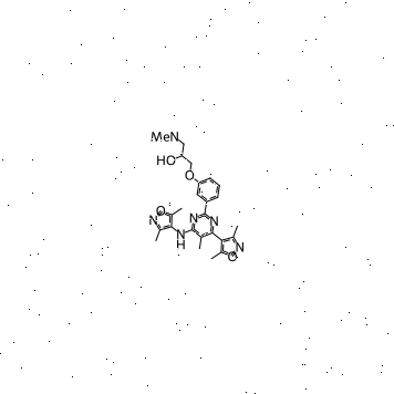 CNCC(O)COc1cccc(-c2nc(Nc3c(C)noc3C)c(C)c(-c3c(C)noc3C)n2)c1